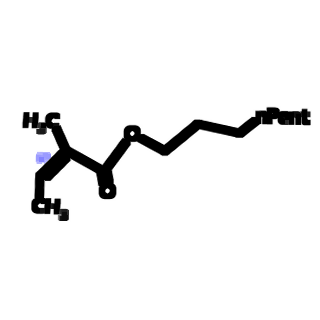 C/C=C(/C)C(=O)OCCCCCCCC